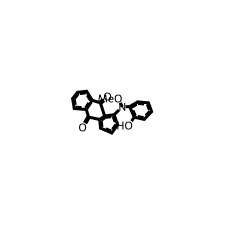 CON(c1ccccc1O)c1cccc2c1C(=O)c1ccccc1C2=O